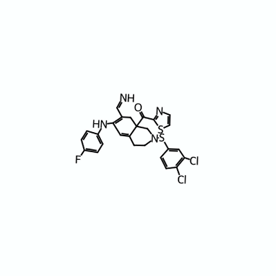 N=CC1=C(Nc2ccc(F)cc2)C=C2CCN(Sc3ccc(Cl)c(Cl)c3)CC2(C(=O)c2nccs2)C1